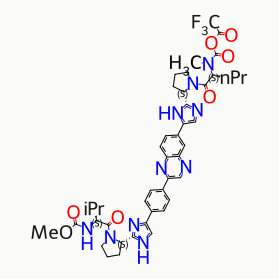 CCC[C@@H](C(=O)N1CCC[C@H]1c1ncc(-c2ccc3nc(-c4ccc(-c5c[nH]c([C@@H]6CCCN6C(=O)[C@@H](NC(=O)OC)C(C)C)n5)cc4)cnc3c2)[nH]1)N(C)C(=O)OC(=O)C(F)(F)F